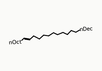 [CH2]CCCCCCC/C=C/CCCCCCCCCCCCCCCCCCC[CH2]